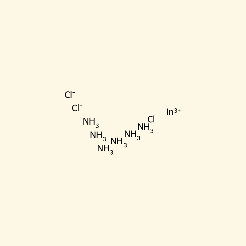 N.N.N.N.N.N.[Cl-].[Cl-].[Cl-].[In+3]